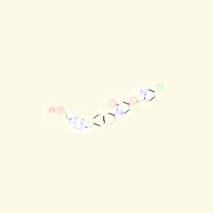 O=c1cc(OCc2ccc(Cl)cn2)ccn1C1=Cc2ccc(CN3CCN(CCO)CC3)cc2CC1